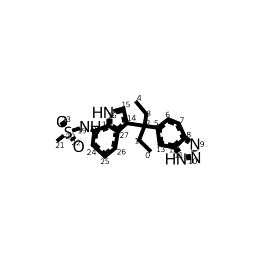 CCC(CC)(c1ccc2nn[nH]c2c1)c1c[nH]c2c(NS(C)(=O)=O)cccc12